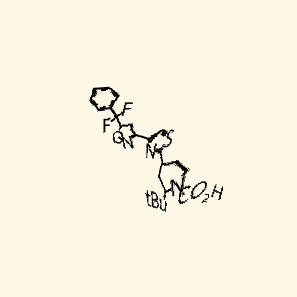 CC(C)(C)C1CC(c2nc(C3=NOC(C(F)(F)c4ccccc4)C3)cs2)CCN1C(=O)O